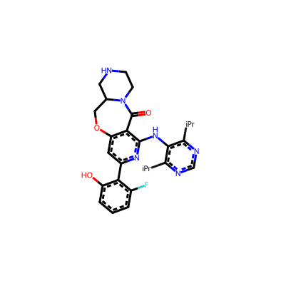 CC(C)c1ncnc(C(C)C)c1Nc1nc(-c2c(O)cccc2F)cc2c1C(=O)N1CCNCC1CO2